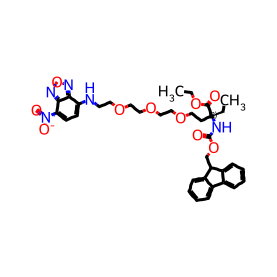 CCOC(=O)[C@@](CC)(CCOCCOCCOCCNc1ccc([N+](=O)[O-])c2nonc12)NC(=O)OCC1c2ccccc2-c2ccccc21